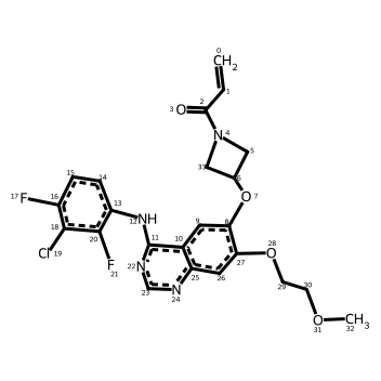 C=CC(=O)N1CC(Oc2cc3c(Nc4ccc(F)c(Cl)c4F)ncnc3cc2OCCOC)C1